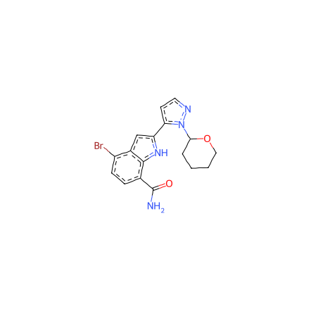 NC(=O)c1ccc(Br)c2cc(-c3ccnn3C3CCCCO3)[nH]c12